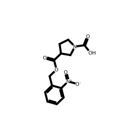 O=C(OCc1ccccc1[N+](=O)[O-])C1CCN(C(=O)O)C1